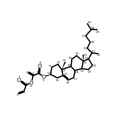 C=CC(=O)OC(=C)C(=O)O[C@H]1CC[C@@]2(C)C(=CCC3C4CCC(C(C)CCCC(C)C)[C@@]4(C)CCC32)C1